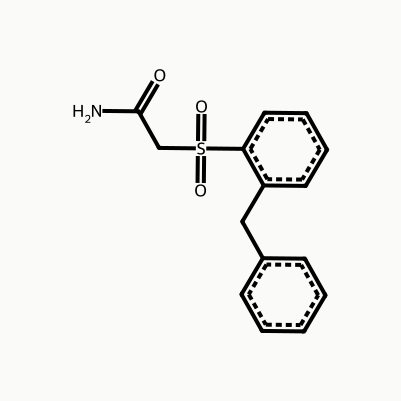 NC(=O)CS(=O)(=O)c1ccccc1Cc1ccccc1